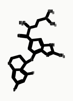 Cc1nc2c(OC3CCOc4cc(F)cc(F)c43)cc(C(=O)N(C)CCN(C)C)cc2[nH]1